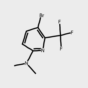 CN(C)c1ccc(Br)c(C(F)(F)F)n1